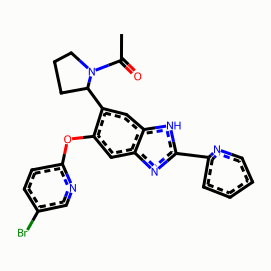 CC(=O)N1CCCC1c1cc2[nH]c(-c3ccccn3)nc2cc1Oc1ccc(Br)cn1